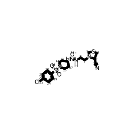 N#CC1CSCN1CCN[NH+]([O-])C1CCN(S(=O)(=O)c2ccc(Cl)cc2)CC1